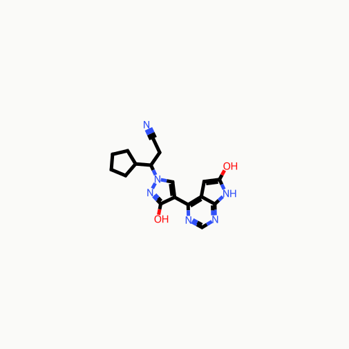 N#CCC(C1CCCC1)n1cc(-c2ncnc3[nH]c(O)cc23)c(O)n1